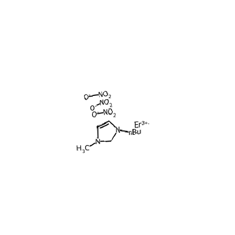 CCCCN1C=CN(C)C1.O=[N+]([O-])[O-].O=[N+]([O-])[O-].O=[N+]([O-])[O-].[Er+3]